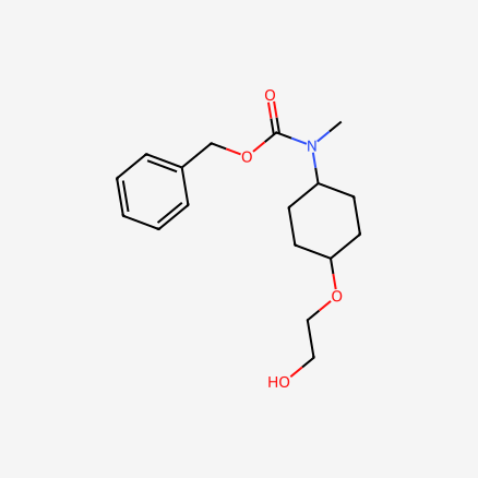 CN(C(=O)OCc1ccccc1)C1CCC(OCCO)CC1